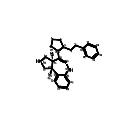 B1P=C(N2CCCC2CCc2ccccc2)[C@@H]2CNC[C@H]2c2ccccc21